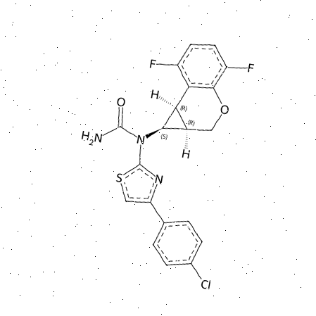 NC(=O)N(c1nc(-c2ccc(Cl)cc2)cs1)[C@@H]1[C@@H]2COc3c(F)ccc(F)c3[C@@H]21